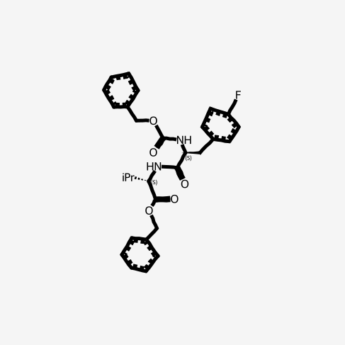 CC(C)[C@H](NC(=O)[C@H](Cc1ccc(F)cc1)NC(=O)OCc1ccccc1)C(=O)OCc1ccccc1